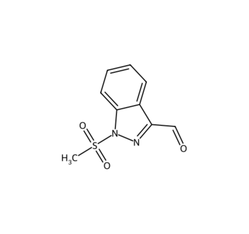 CS(=O)(=O)n1nc(C=O)c2ccccc21